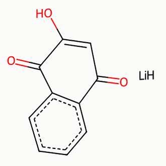 O=C1C=C(O)C(=O)c2ccccc21.[LiH]